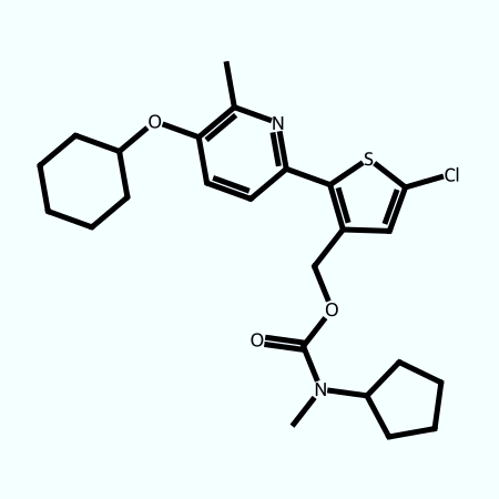 Cc1nc(-c2sc(Cl)cc2COC(=O)N(C)C2CCCC2)ccc1OC1CCCCC1